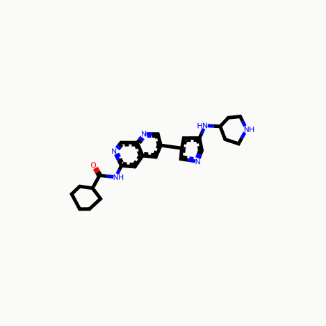 O=C(Nc1cc2cc(-c3cncc(NC4CCNCC4)c3)cnc2cn1)C1CCCCC1